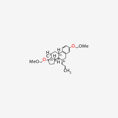 C=CC[C@@H]1Cc2cc(OCOC)ccc2[C@H]2CC[C@]3(C)[C@@H](OCOC)CC[C@H]3[C@H]12